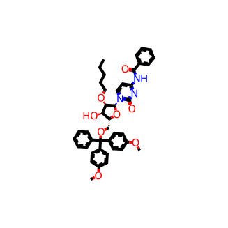 CCCCCO[C@@H]1[C@H](O)[C@@H](COC(c2ccccc2)(c2ccc(OC)cc2)c2ccc(OC)cc2)O[C@H]1n1ccc(NC(=O)c2ccccc2)nc1=O